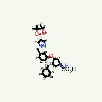 CC1(C)OB(c2cnn(Cc3cccc(O[C@@H]4CC(NC(=O)O)C[C@@H]4Cc4ccccc4)c3)c2)OC1(C)C